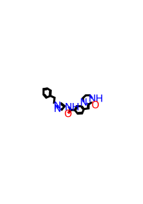 O=C(Nc1cnn(CCc2ccccc2)c1)c1ccc2cc3n(c2c1)CCCNC3=O